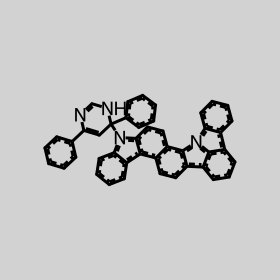 C1=NC(c2ccccc2)=CC(c2ccccc2)(n2c3ccccc3c3c4ccc5c6cccc7c8ccccc8n(c5c4ccc32)c76)N1